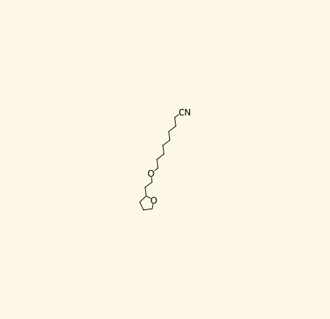 N#CCCCCCCCCOCCC1CCCO1